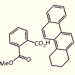 COC(=O)c1ccccc1C(=O)O.c1ccc2c(c1)ccc1c3c(ccc12)CCCC3